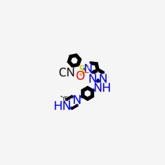 C[C@@H]1CN(c2ccc(Nc3ncc4ccn([S+]([O-])c5ccccc5C#N)c4n3)cc2)CCN1